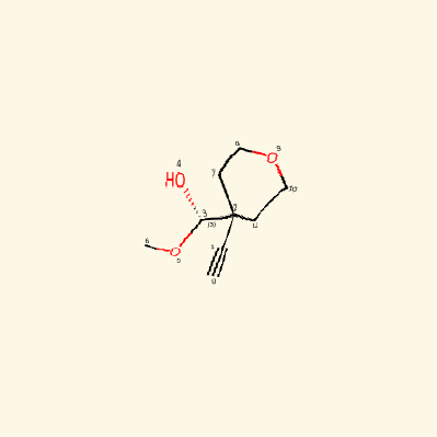 C#CC1([C@@H](O)OC)CCOCC1